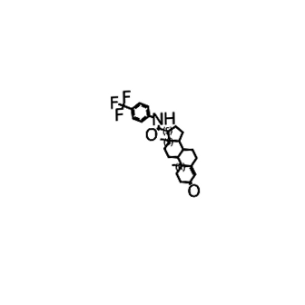 C[C@]12CCC(=O)C=C1CCC1C2CC[C@@]2(C)C1CC[C@@H]2C(=O)Nc1ccc(C(F)(F)F)cc1